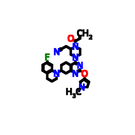 C=CC(=O)N1CCN(c2nc(OC3=CCN(C)C3)nc3c2CCC(N2CCCc4ccc(F)cc42)C3)CC1CC#N